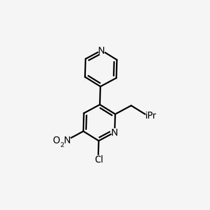 CC(C)Cc1nc(Cl)c([N+](=O)[O-])cc1-c1ccncc1